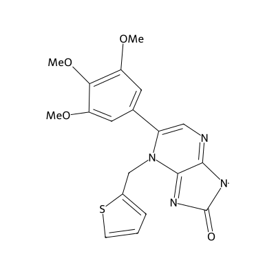 COc1cc(C2=CN=C3[N]C(=O)N=C3N2Cc2cccs2)cc(OC)c1OC